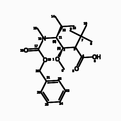 CO[C@H](C(C(=O)O)C(C)(C)C)[C@H](C(C)C)N(C)C(=O)OCc1ccccc1